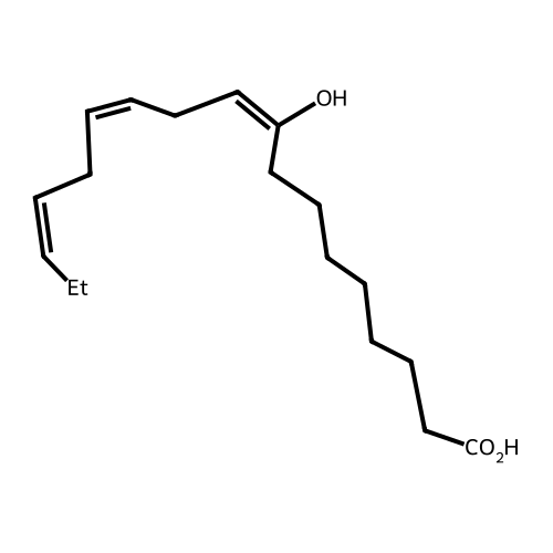 CC/C=C\C/C=C\C/C=C(/O)CCCCCCCC(=O)O